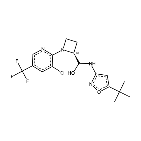 CC(C)(C)c1cc(NC(O)[C@@H]2CCN2c2ncc(C(F)(F)F)cc2Cl)no1